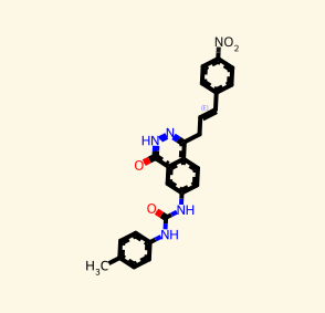 Cc1ccc(NC(=O)Nc2ccc3c(C/C=C/c4ccc([N+](=O)[O-])cc4)n[nH]c(=O)c3c2)cc1